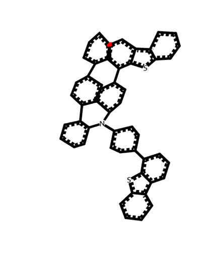 c1ccc(-c2ccc(-c3ccccc3N(c3ccc(-c4cccc5c4sc4ccccc45)cc3)c3ccc(-c4cccc5c4sc4ccccc45)cc3)cc2)cc1